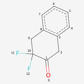 O=C1Cc2ccccc2CC1(F)F